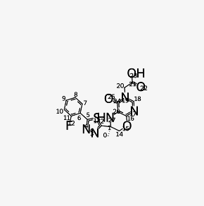 C[C@@]1(c2nnc(-c3ccccc3F)s2)COc2ncn(CC(=O)O)c(=O)c2N1